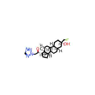 C[C@]12CC[C@H]3[C@@H](CC[C@H]4C[C@](O)(CF)CC[C@@H]43)[C@@H]1CC[C@@H]2C(=O)Cn1ncnn1